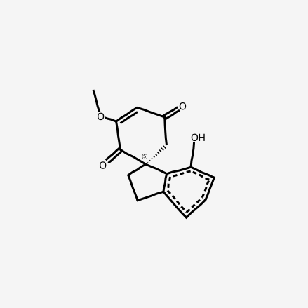 COC1=CC(=O)C[C@]2(CCc3cccc(O)c32)C1=O